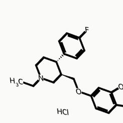 CCN1CC[C@H](c2ccc(F)cc2)[C@@H](COc2ccc3c(c2)OCO3)C1.Cl